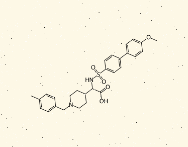 COc1ccc(-c2ccc(S(=O)(=O)NC(C(=O)O)C3CCN(Cc4ccc(C)cc4)CC3)cc2)cc1